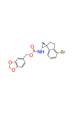 O=C(N[C@@H]1C[C@]12CCc1c(Br)cccc12)OCc1ccc2c(c1)OCO2